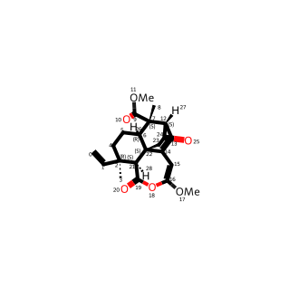 C=C[C@@]1(C)CC[C@H]2[C@](C)(C(=O)OC)[C@@H]3C=C4C=C(OC)OC(=O)[C@@H]1[C@@]42CC3=O